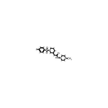 CN1CCN(NC(=O)CC2CCCN(S(=O)(=O)c3ccc(F)cc3)C2)CC1